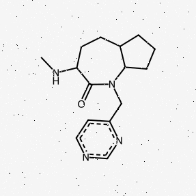 CNC1CCC2CCCC2N(Cc2ccncn2)C1=O